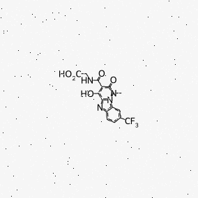 Cn1c(=O)c(C(=O)NCC(=O)O)c(O)c2nc3ccc(C(F)(F)F)cc3n21